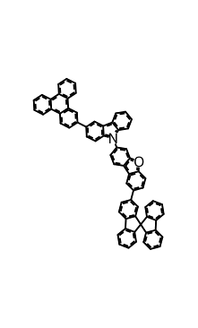 c1ccc2c(c1)-c1ccccc1C21c2ccccc2-c2ccc(-c3ccc4oc5cc(-n6c7ccccc7c7cc(-c8ccc9c%10ccccc%10c%10ccccc%10c9c8)ccc76)ccc5c4c3)cc21